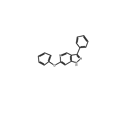 c1ccc(Oc2cc3[nH]nc(-c4ccccc4)c3cn2)cc1